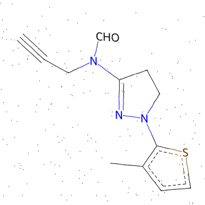 C#CCN(C=O)C1=NN(c2sccc2C)CC1